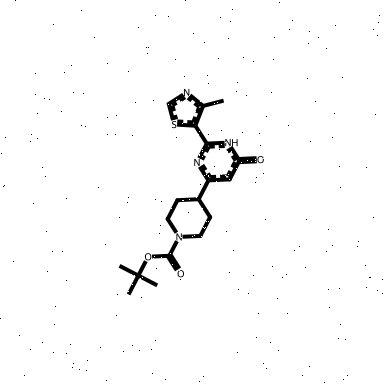 Cc1ncsc1-c1nc(C2CCN(C(=O)OC(C)(C)C)CC2)cc(=O)[nH]1